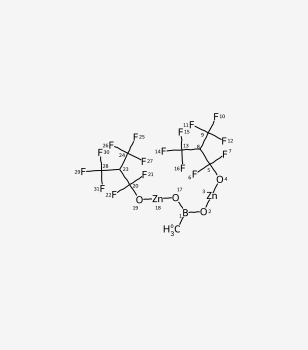 CB([O][Zn][O]C(F)(F)C(C(F)(F)F)C(F)(F)F)[O][Zn][O]C(F)(F)C(C(F)(F)F)C(F)(F)F